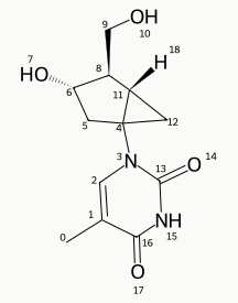 Cc1cn(C23C[C@H](O)[C@@H](CO)[C@@H]2C3)c(=O)[nH]c1=O